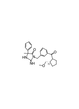 COC[C@H]1CCCC1C(=O)c1cccc(CN2C(=N)NC(C)(c3ccccc3)C2=O)c1